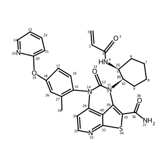 C=CC(=O)N[C@H]1CCCC[C@H]1N1C(=O)N(c2ccc(Oc3ccccn3)cc2C)c2ccnc3sc(C(N)=O)c1c23